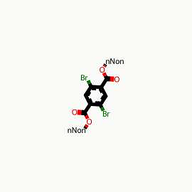 CCCCCCCCCOC(=O)c1cc(Br)c(C(=O)OCCCCCCCCC)cc1Br